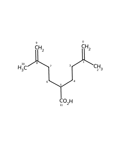 C=C(C)CCC(CCC(=C)C)C(=O)O